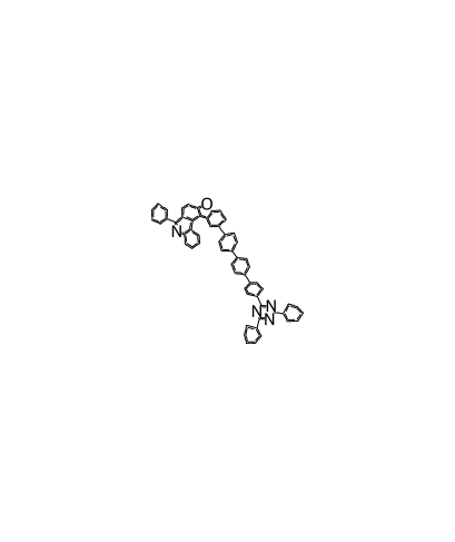 c1ccc(-c2nc(-c3ccccc3)nc(-c3ccc(-c4ccc(-c5ccc(-c6ccc7oc8ccc9c(-c%10ccccc%10)nc%10ccccc%10c9c8c7c6)cc5)cc4)cc3)n2)cc1